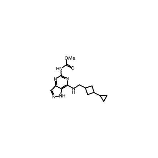 COC(=O)Nc1nc(NCC2CC(C3CC3)C2)c2[nH]ncc2n1